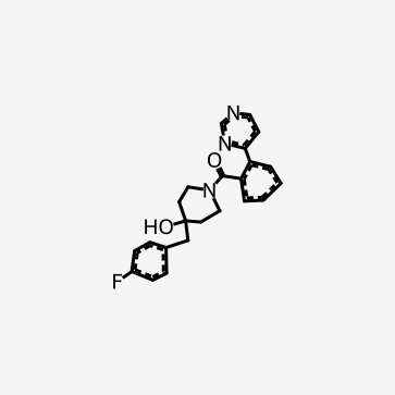 O=C(c1ccccc1-c1ccncn1)N1CCC(O)(Cc2ccc(F)cc2)CC1